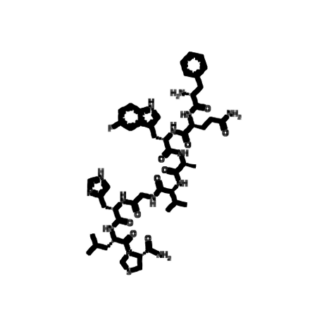 CC(C)C[C@H](NC(=O)[C@H](Cc1c[nH]cn1)NC(=O)CNC(=O)[C@@H](NC(=O)[C@H](C)NC(=O)[C@H](Cc1c[nH]c2ccc(F)cc12)NC(=O)[C@H](CCC(N)=O)NC(=O)[C@H](N)Cc1ccccc1)C(C)C)C(=O)N1CSC[C@H]1C(N)=O